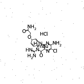 CCCCC1(N(C(=N)N)C(=O)c2nc(Cl)c(N)nc2N)C=CC(OCC(N)=O)C=C1.Cl